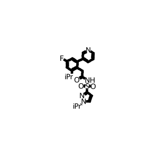 CC(C)c1cc(F)cc(-c2cccnc2)c1CC(=O)NS(=O)(=O)c1ccn(C(C)C)n1